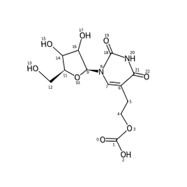 O=C(O)OCCc1cn([C@H]2O[C@@H](CO)C(O)C2O)c(=O)[nH]c1=O